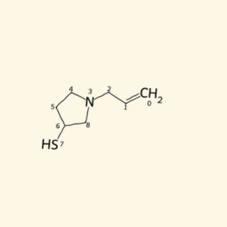 C=CCN1CCC(S)C1